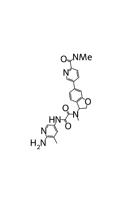 CNC(=O)c1ccc(-c2ccc3c(c2)OCC3N(C)C(=O)C(=O)Nc2cnc(N)c(C)c2)cn1